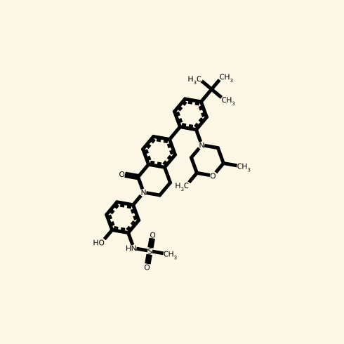 CC1CN(c2cc(C(C)(C)C)ccc2-c2ccc3c(c2)CCN(c2ccc(O)c(NS(C)(=O)=O)c2)C3=O)CC(C)O1